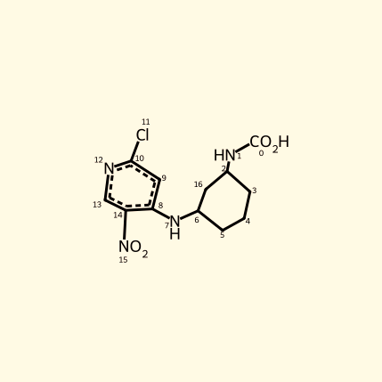 O=C(O)NC1CCCC(Nc2cc(Cl)ncc2[N+](=O)[O-])C1